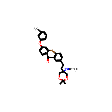 CC1(C)OCC(CCc2ccc3sc4cc(Oc5cccc(C(F)(F)F)c5)ccc4c(=O)c3c2)(NC(=O)O)CO1